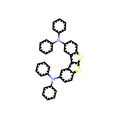 c1ccc(N(c2ccccc2)c2ccc3sc4sc5ccc(N(c6ccccc6)c6ccccc6)cc5c4c3c2)cc1